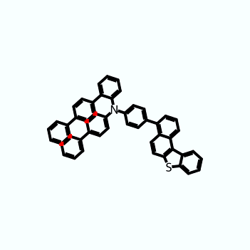 c1ccc(-c2ccc(-c3ccccc3N(c3ccc(-c4ccccc4)cc3)c3ccc(-c4cccc5c4ccc4sc6ccccc6c45)cc3)cc2)cc1